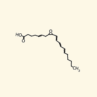 CCCCCC=CC=CC=CC1OC1CC=CCCCC(=O)O